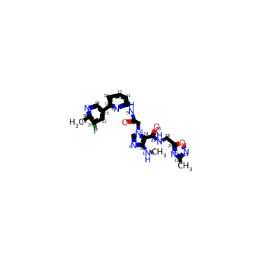 CNc1ncn(CC(=O)Nc2cccc(-c3cnc(C)c(F)c3)n2)c1C(=O)NCc1nc(C)no1